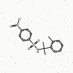 Cc1ccccc1C(C)(C)NS(=O)(=O)c1ccc([N+](=O)[O-])cc1